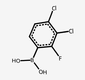 OB(O)c1ccc(Cl)c(Cl)c1F